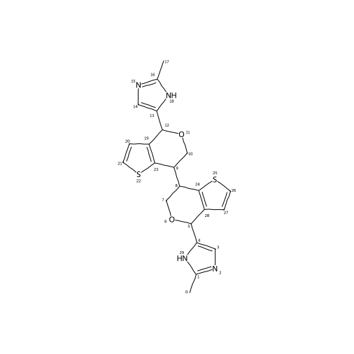 Cc1ncc(C2OCC(C3COC(c4cnc(C)[nH]4)c4ccsc43)c3sccc32)[nH]1